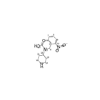 O=C(O)N(Cc1ccccc1[N+](=O)[O-])C1CCNCC1